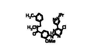 COc1cc(C(=O)N(C)Cc2cccc(C)c2)ccc1Nc1ncc(Cl)c(-c2cnn(C(C)C)c2)n1